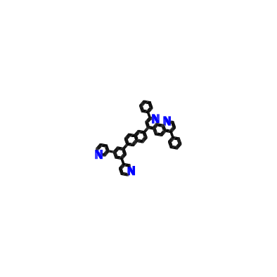 c1ccc(-c2cc(-c3ccc4cc(-c5cc(-c6cccnc6)cc(-c6cccnc6)c5)ccc4c3)c3ccc4c(-c5ccccc5)ccnc4c3n2)cc1